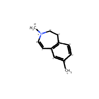 Cc1ccc2c(c1)C=CN(C)CC2